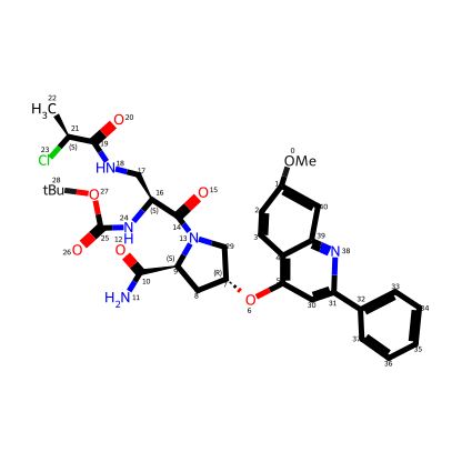 COc1ccc2c(O[C@@H]3C[C@@H](C(N)=O)N(C(=O)[C@H](CNC(=O)[C@H](C)Cl)NC(=O)OC(C)(C)C)C3)cc(-c3ccccc3)nc2c1